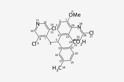 COc1ccc(C(Cc2c(Cl)cncc2Cl)c2cc(C)ccc2C(=O)O)c2ccc(Cl)nc12